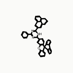 C1=Cc2cc(C3=NC(c4ccccc4)=NC(c4ccc5c(c4)Oc4ccccc4C54c5ccccc5-c5ccccc54)N3)cc3cccc(c23)C1